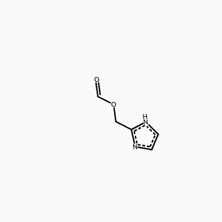 O=COCc1ncc[nH]1